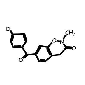 CN1Oc2cc(C(=O)c3ccc(Cl)cc3)ccc2CC1=O